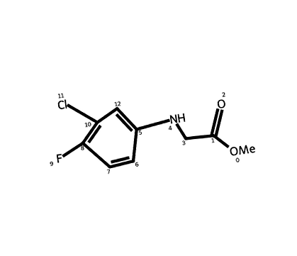 COC(=O)CNc1ccc(F)c(Cl)c1